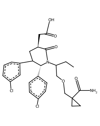 CCC(COCC1(C(N)=O)CC1)N1C(=O)[C@H](CC(=O)O)CC(c2cccc(Cl)c2)[C@H]1c1ccc(Cl)cc1